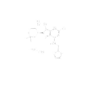 CC1(C)CC[C@H](N)[C@@H](c2sc3c(NCc4cccs4)cc(Cl)nc3c2Br)C1.O=CO